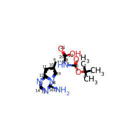 CC(C)(C)OC(=O)N[C@H](Cc1cc2ncnc(N)n2c1)C(=O)O